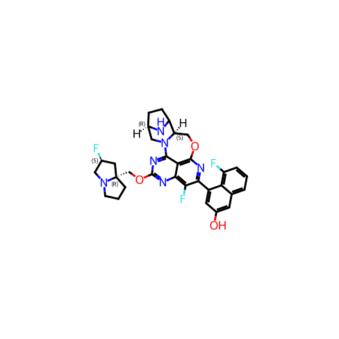 Oc1cc(-c2nc3c4c(nc(OC[C@]56CCCN5C[C@@H](F)C6)nc4c2F)N2C[C@H]4CCC(N4)[C@H]2CO3)c2c(F)cccc2c1